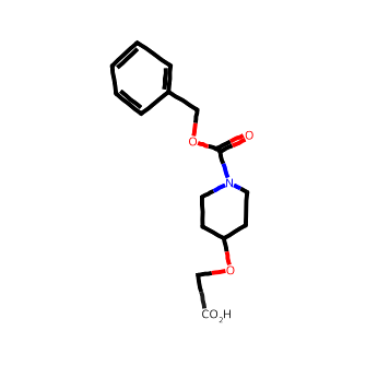 O=C(O)COC1CCN(C(=O)OCc2ccccc2)CC1